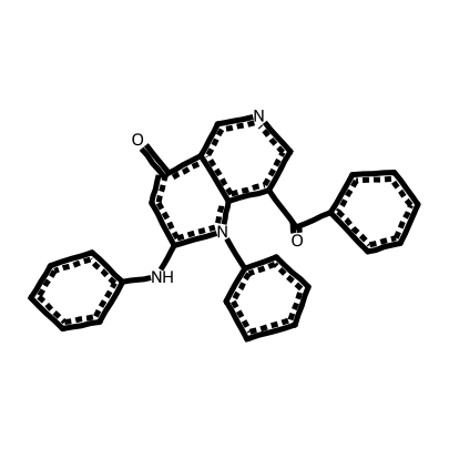 O=C(c1ccccc1)c1cncc2c(=O)cc(Nc3ccccc3)n(-c3ccccc3)c12